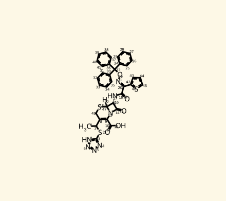 CC(Sc1nnn[nH]1)C1=C(C(=O)O)N2C(=O)[C@@H](NC(=O)C(=NOC(c3ccccc3)(c3ccccc3)c3ccccc3)c3cccs3)[C@H]2SC1